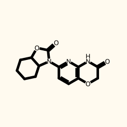 O=C1COc2ccc(N3C(=O)OC4CCCCC43)nc2N1